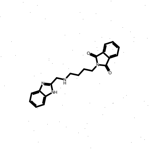 O=C1c2ccccc2C(=O)N1CCCCNCc1nc2ccccc2[nH]1